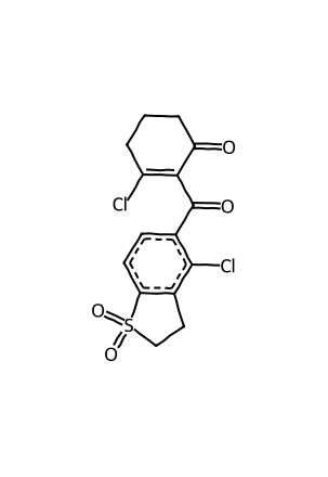 O=C1CCCC(Cl)=C1C(=O)c1ccc2c(c1Cl)CCS2(=O)=O